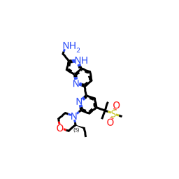 CC[C@H]1COCCN1c1cc(C(C)(C)S(C)(=O)=O)cc(-c2ccc3[nH]c(CN)cc3n2)n1